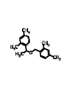 Cc1ccc(COC(C)c2ccc(C)cc2C)c(C)c1